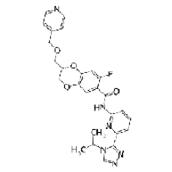 CC(C)n1cnnc1-c1cccc(NC(=O)c2cc3c(cc2F)OC(COCc2ccncc2)CO3)n1